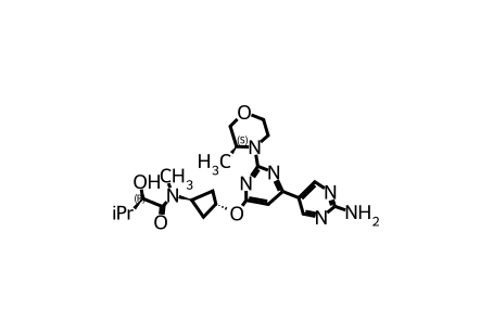 CC(C)[C@@H](O)C(=O)N(C)[C@H]1C[C@H](Oc2cc(-c3cnc(N)nc3)nc(N3CCOC[C@@H]3C)n2)C1